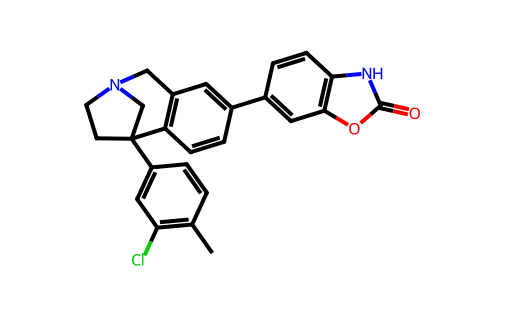 Cc1ccc(C23CCN(Cc4cc(-c5ccc6[nH]c(=O)oc6c5)ccc42)C3)cc1Cl